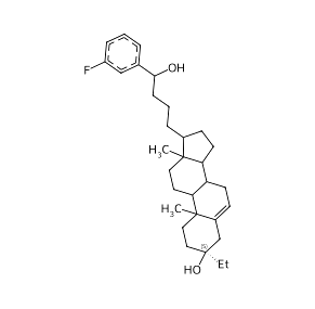 CC[C@]1(O)CCC2(C)C(=CCC3C2CCC2(C)C(CCCC(O)c4cccc(F)c4)CCC32)C1